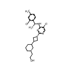 Cc1ccc(C(C)Nc2nc(N3CC(C4CCCN(CCO)C4)C3)ncc2Cl)c(Cl)c1